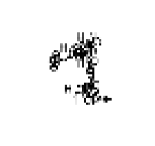 CC(=O)N[C@H]1C(NC(=O)OCc2ccc(NC(=O)C(CCCNC(N)=O)NC(=O)C(NC(=O)CCCCCN3C(=O)CCC3=O)C(C)C)cc2)O[C@H](CO)[C@@H](F)[C@@H]1O